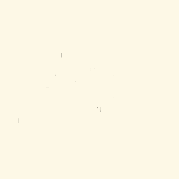 COC(=O)NC(CC(C)C)C(=O)OC